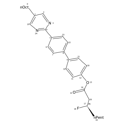 CCCCCCCCc1cnc(-c2ccc(-c3ccc(OC(=O)C[C@H](F)CCCCC)cc3)cc2)nc1